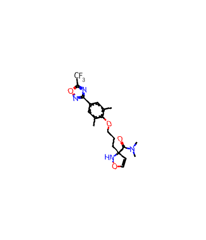 Cc1cc(-c2noc(C(F)(F)F)n2)cc(C)c1OCCCC1(C(=O)N(C)C)C=CON1